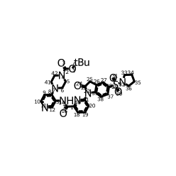 CC(C)(C)OC(=O)N1CCN(c2ccncc2NC(=O)c2cccc(N3C(=O)Cc4cc(S(=O)(=O)N5CCCC5)ccc43)n2)CC1